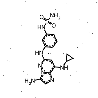 Nc1cnc2c(NC3CC3)cc(Nc3cccc(NS(N)(=O)=O)c3)nn12